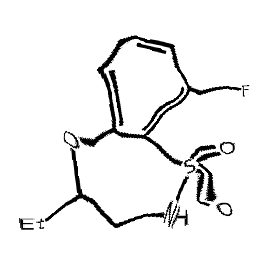 CCC1CNS(=O)(=O)c2c(F)cccc2O1